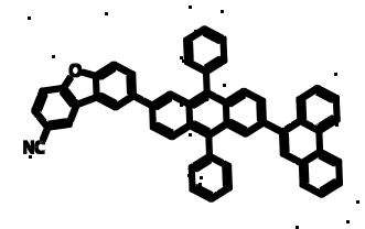 N#Cc1ccc2oc3ccc(-c4ccc5c(-c6ccccc6)c6cc(-c7cc8ccccc8c8ccccc78)ccc6c(-c6ccccc6)c5c4)cc3c2c1